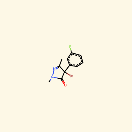 CC1=NN(C)C(=O)C1(Br)c1cccc(F)c1